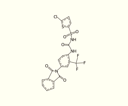 O=C(Nc1ccc(N2C(=O)c3ccccc3C2=O)cc1C(F)(F)F)NS(=O)(=O)c1ccc(Cl)s1